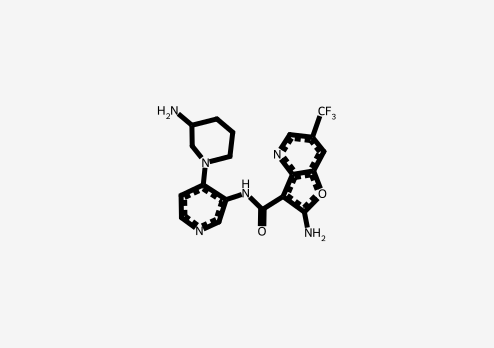 Nc1oc2cc(C(F)(F)F)cnc2c1C(=O)Nc1cnccc1N1CCCC(N)C1